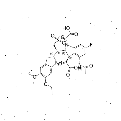 CCOc1cc2c(cc1OC)C[C@H]([C@@H](CS(C)(=O)=O)[C@H]1[C@H](C(=O)C(=O)O)c3c(NC(C)=O)cc(F)cc3N1C(=O)C(=O)O)N2